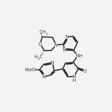 COc1cnc(-c2c[nH]c(=O)c(Nc3ccnc(N4C[C@@H](C)O[C@@H](C)C4)n3)c2)cn1